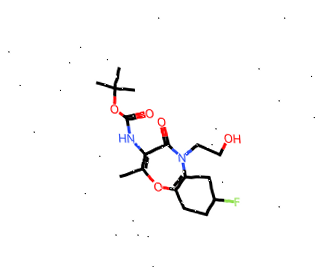 CC1=C(NC(=O)OC(C)(C)C)C(=O)N(CCO)C2=C(CCC(F)C2)O1